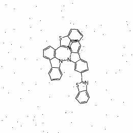 c1ccc2sc(-c3ccc4c5ccccc5n(-n5c6ccccc6c6cccc(-c7nc8ccccc8s7)c65)c4c3)nc2c1